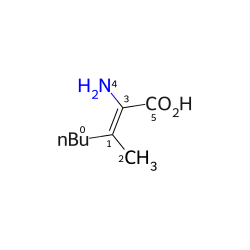 CCCCC(C)=C(N)C(=O)O